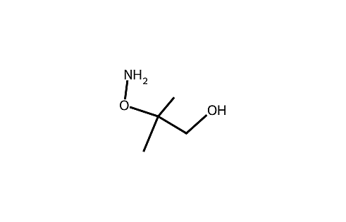 CC(C)(CO)ON